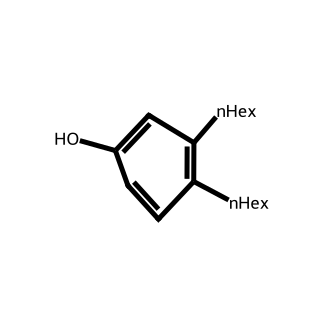 CCCCCCc1ccc(O)cc1CCCCCC